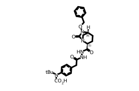 CC(C)(C)N(C(=O)O)c1ccc(CC(=O)NNC(=O)[C@@H]2CC[C@@H]3CN2C(=O)N3OCc2ccccc2)cc1